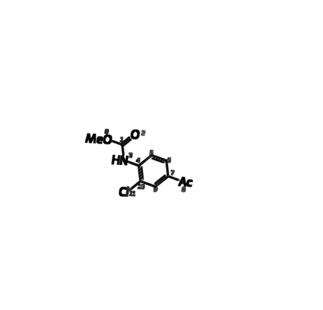 COC(=O)Nc1ccc(C(C)=O)cc1Cl